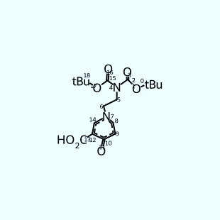 CC(C)(C)OC(=O)N(CCn1ccc(=O)c(C(=O)O)c1)C(=O)OC(C)(C)C